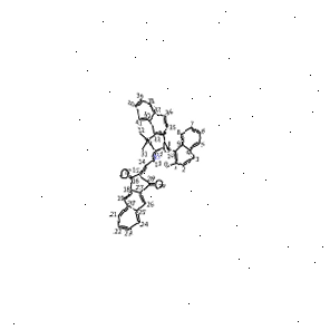 Cc1ccc2ccccc2c1N1/C(=C/C=C2C(=O)c3cc4ccccc4cc3C2=O)C(C)(C)c2c1ccc1ccccc21